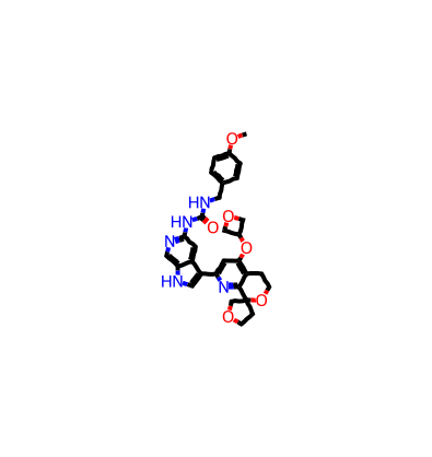 COc1ccc(CNC(=O)Nc2cc3c(-c4cc(OC5COC5)c5c(n4)C4(CCOC4)OCC5)c[nH]c3cn2)cc1